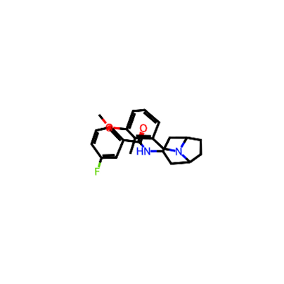 COc1cccc(CN2C3CCC2CC(NC(=O)c2cccc(F)c2)C3)c1C